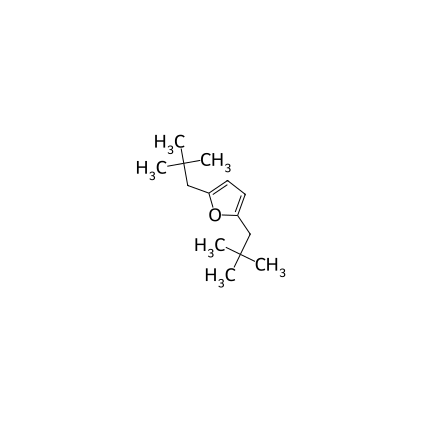 CC(C)(C)Cc1ccc(CC(C)(C)C)o1